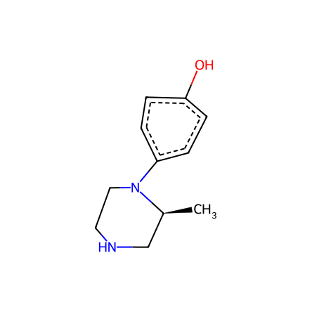 C[C@H]1CNCCN1c1ccc(O)cc1